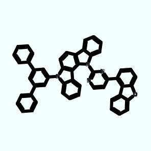 c1ccc(-c2cc(-c3ccccc3)cc(-n3c4ccccc4c4c3ccc3c5ccccc5n(-c5nccc(-c6cccc7oc8ccccc8c67)n5)c34)c2)cc1